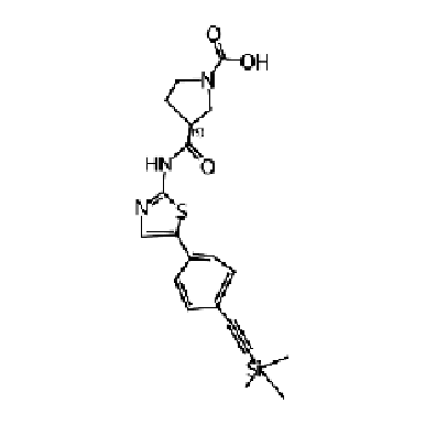 C[Si](C)(C)C#Cc1ccc(-c2cnc(NC(=O)[C@H]3CCN(C(=O)O)C3)s2)cc1